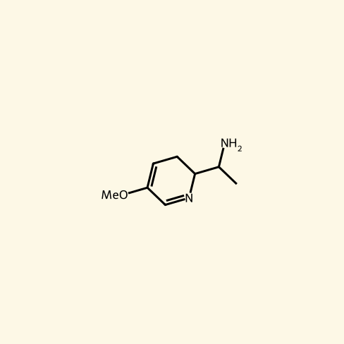 COC1=CCC(C(C)N)N=C1